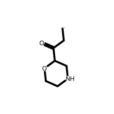 [CH2]CC(=O)C1CNCCO1